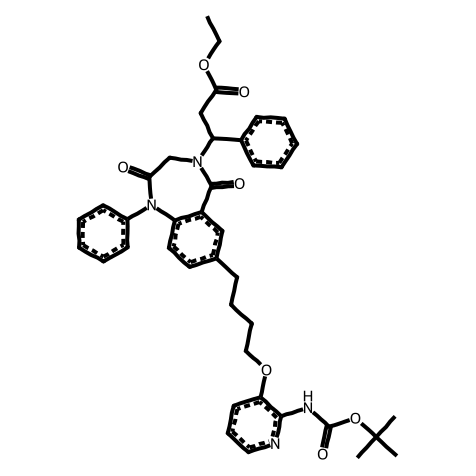 CCOC(=O)CC(c1ccccc1)N1CC(=O)N(c2ccccc2)c2ccc(CCCCOc3cccnc3NC(=O)OC(C)(C)C)cc2C1=O